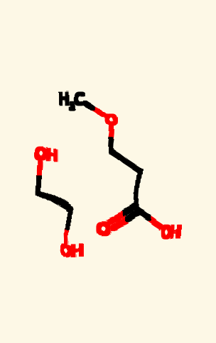 COCCC(=O)O.OCCO